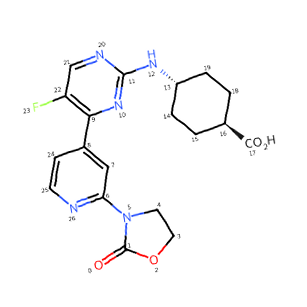 O=C1OCCN1c1cc(-c2nc(N[C@H]3CC[C@H](C(=O)O)CC3)ncc2F)ccn1